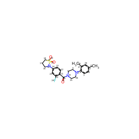 Cc1ccc(N2CCN(C(=O)c3ccc(N4CCCS4(=O)=O)cc3F)CC2)c(C)c1